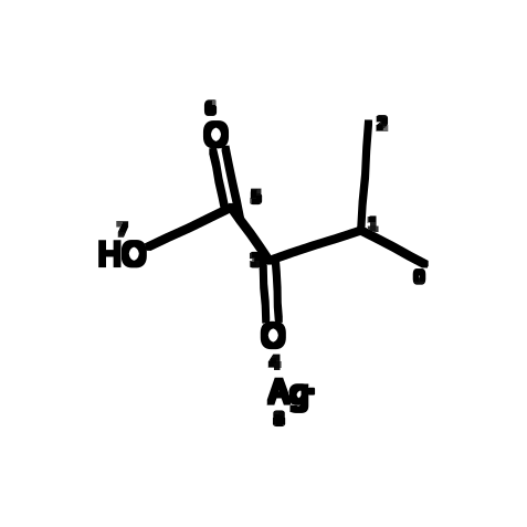 CC(C)C(=O)C(=O)O.[Ag]